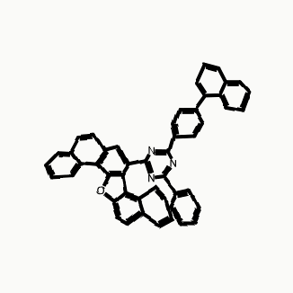 c1ccc(-c2nc(-c3ccc(-c4cccc5ccccc45)cc3)nc(-c3cc4ccc5ccccc5c4c4oc5ccc6ccccc6c5c34)n2)cc1